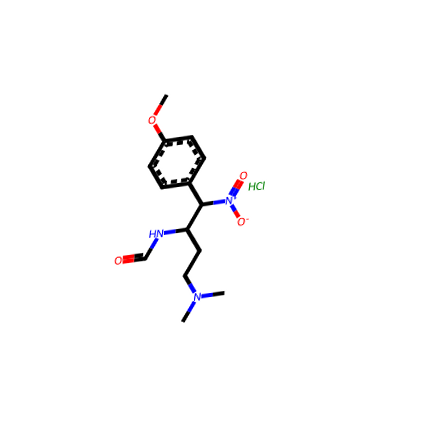 COc1ccc(C(C(CCN(C)C)NC=O)[N+](=O)[O-])cc1.Cl